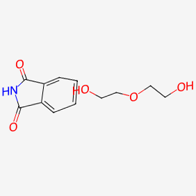 O=C1NC(=O)c2ccccc21.OCCOCCO